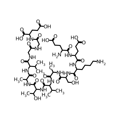 CC(NC(=O)C(CO)NC(=O)C(CCCCN)NC(=O)C(CCC(=O)O)NC(=O)C(N)CCC(=O)O)C(=O)NC(C(=O)NC(C(=O)NC(C)C(=O)NC(C(=O)NCC(=O)NCC(=O)NC(CCC(=O)O)C(=O)O)C(C)C)C(C)O)C(C)C